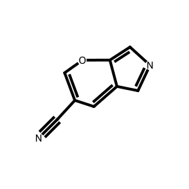 N#Cc1coc2cncc-2c1